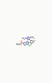 COC(=O)c1ccn2c(Cl)c(-c3c(F)cc(F)cc3-c3cn(C)nc3C)nc2c1